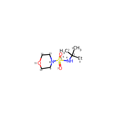 CCC(C)(C)NS(=O)(=O)N1CCOCC1